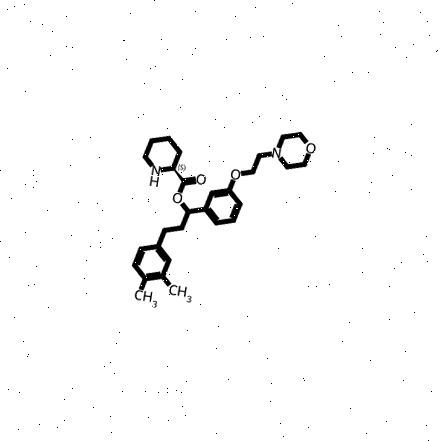 Cc1ccc(CCC(OC(=O)[C@@H]2CCCCN2)c2cccc(OCCN3CCOCC3)c2)cc1C